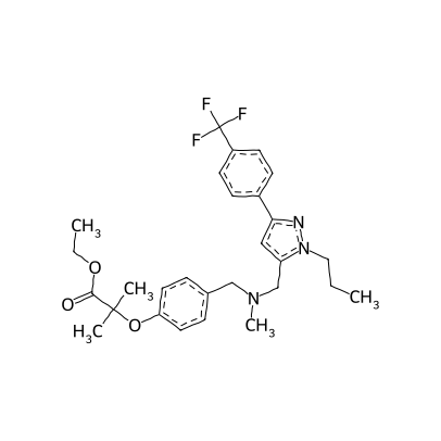 CCCn1nc(-c2ccc(C(F)(F)F)cc2)cc1CN(C)Cc1ccc(OC(C)(C)C(=O)OCC)cc1